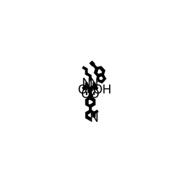 C#Cc1ccc2c(c1)C(n1c(CCCC)nc(=O)c(S(=O)(=O)c3ccc(-c4cccnc4C)cc3)c1O)CC2